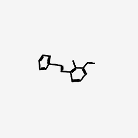 CCc1cccc(C=Cc2ccccc2)c1C